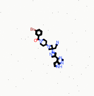 N#CCC1(n2cc(-c3ncnc4[nH]ccc34)cn2)CN(C2CCN(C(=O)c3cccc(Br)c3)CC2)C1